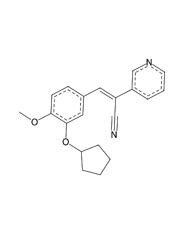 COc1ccc(C=C(C#N)c2cccnc2)cc1OC1CCCC1